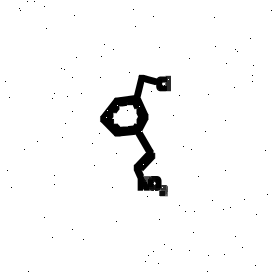 O=[N+]([O-])C=Cc1cccc(CCl)c1